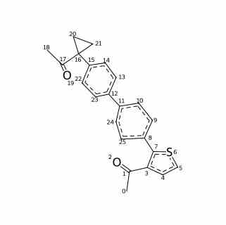 CC(=O)c1ccsc1-c1ccc(-c2ccc(C3(C(C)=O)CC3)cc2)cc1